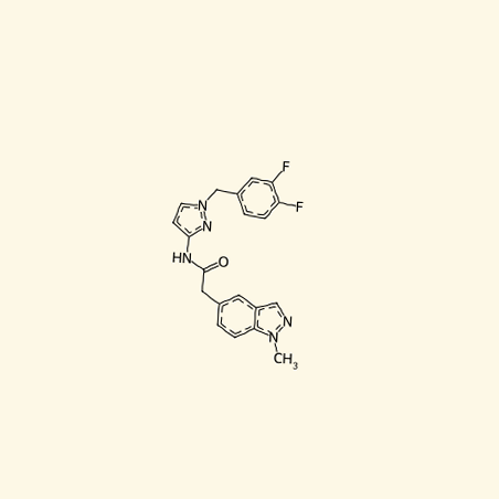 Cn1ncc2cc(CC(=O)Nc3ccn(Cc4ccc(F)c(F)c4)n3)ccc21